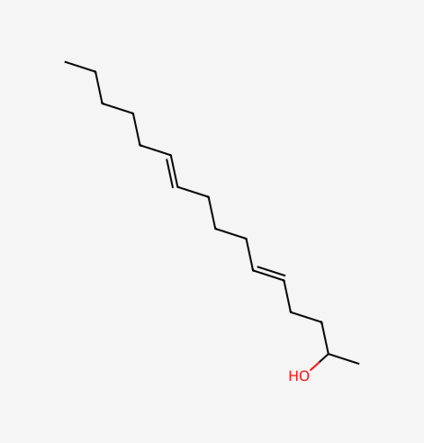 CCCCCC=CCCCC=CCCC(C)O